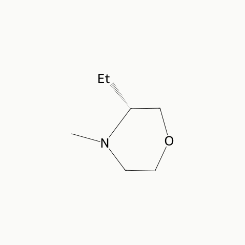 CC[C@@H]1COCCN1C